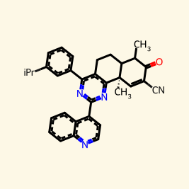 CC(C)c1cccc(-c2nc(-c3ccnc4ccccc34)nc3c2CCC2C(C)C(=O)C(C#N)=C[C@@]32C)c1